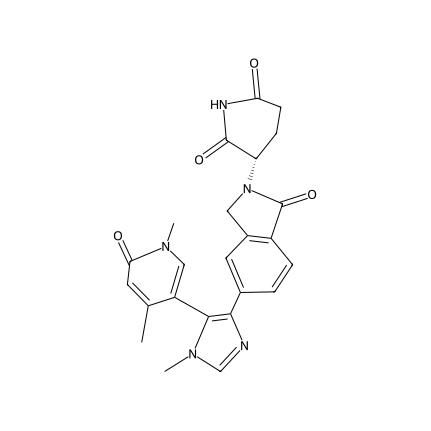 Cc1cc(=O)n(C)cc1-c1c(-c2ccc3c(c2)CN([C@H]2CCC(=O)NC2=O)C3=O)ncn1C